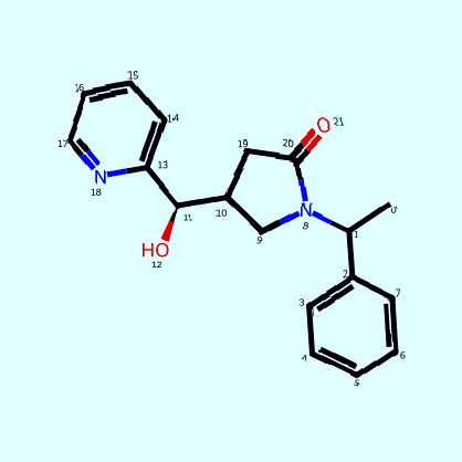 CC(c1ccccc1)N1CC([C@@H](O)c2ccccn2)CC1=O